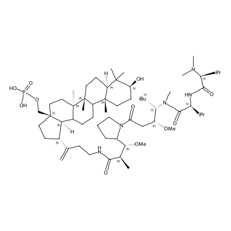 C=C(CCNC(=O)[C@H](C)[C@@H](OC)C1CCCN1C(=O)C[C@@H](OC)[C@H]([C@@H](C)CC)N(C)C(=O)[C@@H](NC(=O)[C@H](C(C)C)N(C)C)C(C)C)[C@@H]1CC[C@]2(COP(=O)(O)O)CC[C@]3(C)C(CCC4[C@@]5(C)CC[C@H](O)C(C)(C)[C@@H]5CC[C@]43C)[C@@H]12